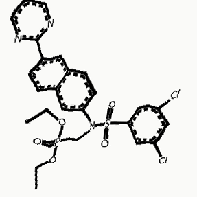 CCOP(=O)(CN(c1ccc2cc(-c3ncccn3)ccc2c1)S(=O)(=O)c1cc(Cl)cc(Cl)c1)OCC